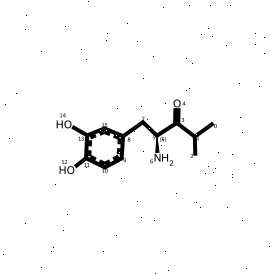 CC(C)C(=O)[C@@H](N)Cc1ccc(O)c(O)c1